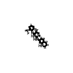 CP(C)c1ccccc1Nc1nc(Nc2ccc3c(c2)NCCC3)ncc1Br